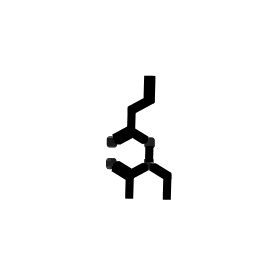 C=CCC(=O)ON(CC)C(C)=O